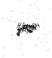 Cc1cc(CNCC(O)CC(=O)O)c(OCc2cccnc2)cc1OCc1cccc(-c2ccc3c(c2)OCCO3)c1C